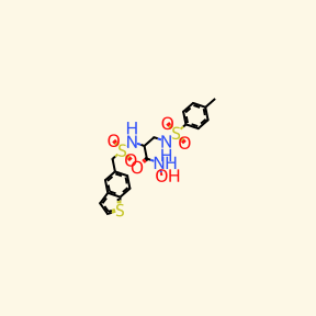 Cc1ccc(S(=O)(=O)NCC(NS(=O)(=O)Cc2ccc3sccc3c2)C(=O)NO)cc1